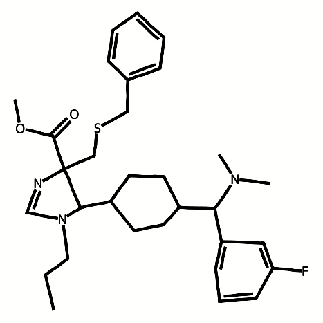 CCCN1C=NC(CSCc2ccccc2)(C(=O)OC)C1C1CCC(C(c2cccc(F)c2)N(C)C)CC1